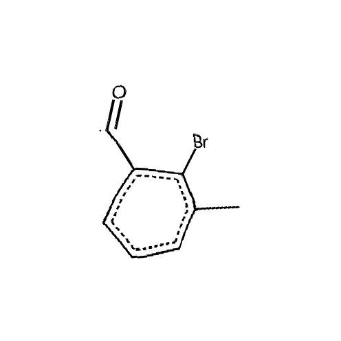 Cc1cccc([C]=O)c1Br